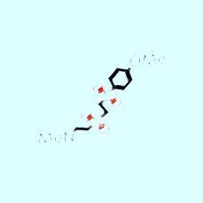 CNCCS(=O)(=O)CCS(=O)(=O)c1c[c]c(OC)cc1